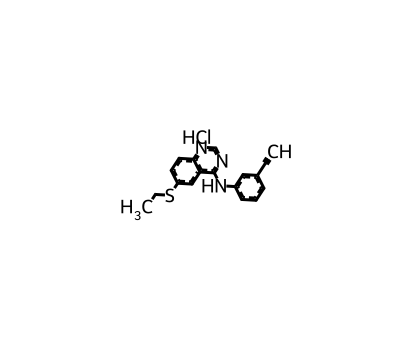 C#Cc1cccc(Nc2ncnc3ccc(SCC)cc23)c1.Cl